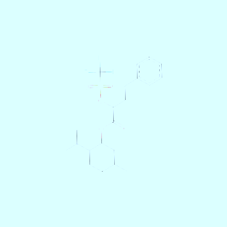 CC1CCC(C(C)C)C(OC(=O)C(CCc2ccccc2)OS(=O)(=O)C(F)(F)F)C1